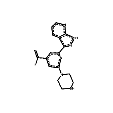 C=C(F)c1cc(-c2n[nH]c3ncccc23)nc(N2CCNCC2)c1